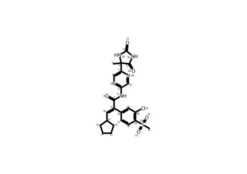 CC1(c2cnc(NC(=O)/C(=C/C3CCCC3)c3ccc(S(C)(=O)=O)c(Cl)c3)cn2)NC(=O)NC1=O